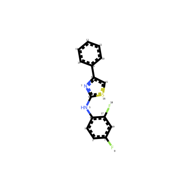 Fc1ccc(Nc2nc(-c3ccccc3)cs2)c(F)c1